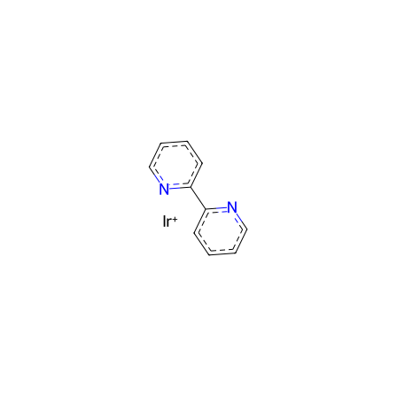 [Ir+].c1ccc(-c2ccccn2)nc1